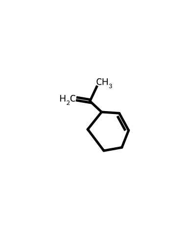 C=C(C)C1C=CCCC1